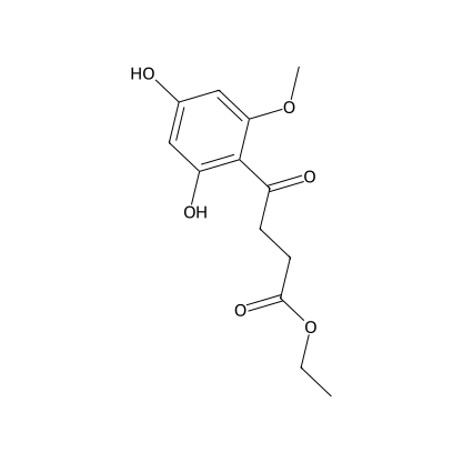 CCOC(=O)CCC(=O)c1c(O)cc(O)cc1OC